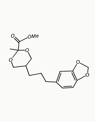 COC(=O)C1(C)OCC(CCCc2ccc3c(c2)OCO3)CO1